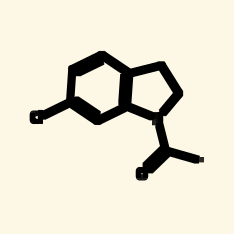 [CH2]C(=O)N1CCc2ccc(Cl)cc21